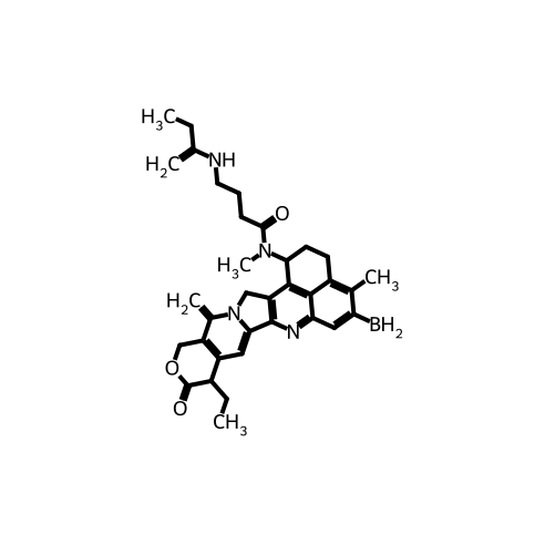 Bc1cc2nc3c(c4c2c(c1C)CCC4N(C)C(=O)CCCNC(=C)CC)CN1C(=C)C2=C(C=C31)C(CC)C(=O)OC2